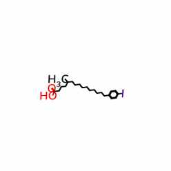 CC(CCCCCCCCCCc1ccc(I)cc1)CCCC(=O)O